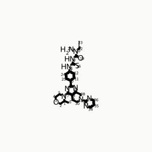 CC1COCCN1c1nc(-c2ccc(NC(=S)NC(=O)N(N)CI)cc2)nc2c1CCN(c1ncccn1)C2